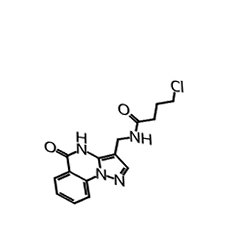 O=C(CCCCl)NCc1cnn2c1[nH]c(=O)c1ccccc12